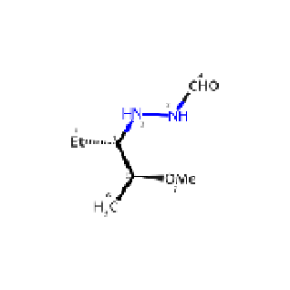 CC[C@H](NNC=O)[C@H](C)OC